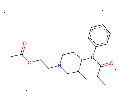 CCC(=O)N(c1ccccc1)C1CCN(CCOC(C)=O)CC1C